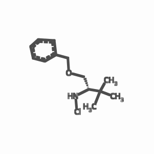 CC(C)(C)[C@@H](COCc1ccccc1)NCl